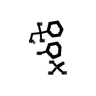 CCC(O)(O)c1ccccc1.O=P(O)(O)O.Oc1ccccc1